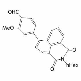 CCCCCCN1C(=O)c2cccc3c(-c4ccc(C=O)c(OC)c4)ccc(c23)C1=O